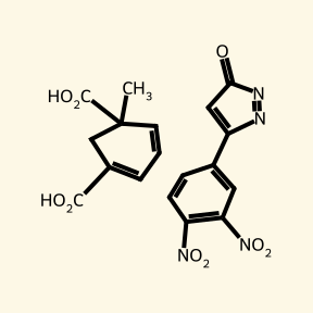 CC1(C(=O)O)C=CC=C(C(=O)O)C1.O=C1C=C(c2ccc([N+](=O)[O-])c([N+](=O)[O-])c2)N=N1